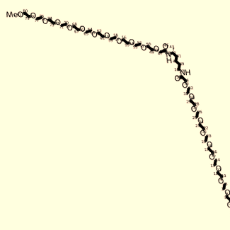 COCCOCCOCCOCCOCCOCCOCCOCCOCCOCCOCCOCC(=O)NCCCC[C@@H](C)NC(=O)COCCOCCOCCOCCOCCOCCOCCOCCOCCOCCOCCOC